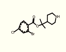 CC(C)(OC(=O)c1ccc(Cl)cc1Br)C1CCNCC1